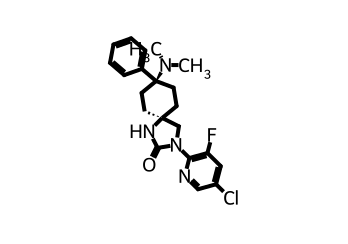 CN(C)[C@]1(c2ccccc2)CC[C@]2(CC1)CN(c1ncc(Cl)cc1F)C(=O)N2